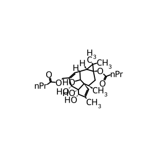 CCCC(=O)OCC1=C[C@@H]2C(O)[C@]3(C=C(C)[C@H](O)[C@@]3(O)[C@@H]1O)[C@H](C)C[C@]1(OC(=O)CCC)[C@H]2C1(C)C